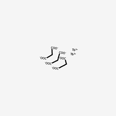 O=C([O-])CC(=O)[O-].O=C([O-])CC(=O)[O-].O=C([O-])CC(=O)[O-].[Tb+3].[Tb+3]